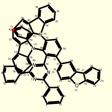 c1ccc(-c2nc(-c3ccccc3)nc(-c3c(-c4ccc5oc6ccccc6c5c4)ccc(-n4c5ccccc5c5ccccc54)c3-n3c4ccccc4c4ccccc43)n2)cc1